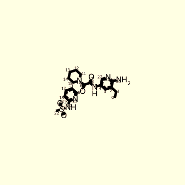 CCc1cc(NC(=O)C(=O)N2CCCC[C@H]2c2ccc(NS(C)(=O)=O)nc2)cnc1N